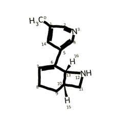 Cc1cncc(C2=CCC[C@H]3CN[C@@H]23)c1